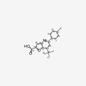 Cc1ccc(-c2cc(C(C)(C)C)c3oc(C(=O)O)cc3n2)cc1